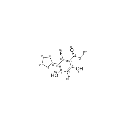 O=C(CF)c1c(O)c(F)c(O)c(C2CCCC2)c1F